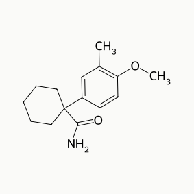 COc1ccc(C2(C(N)=O)CCCCC2)cc1C